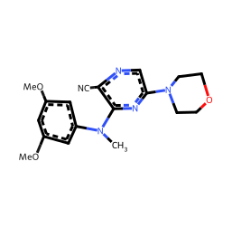 COc1cc(OC)cc(N(C)c2nc(N3CCOCC3)cnc2C#N)c1